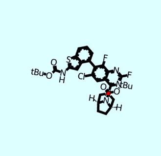 CC(C)(C)OC(=O)Nc1cc2c(-c3c(Cl)cc4c(N5C[C@H]6CC[C@@H](C5)N6C(=O)OC(C)(C)C)nc(F)nc4c3F)cccc2s1